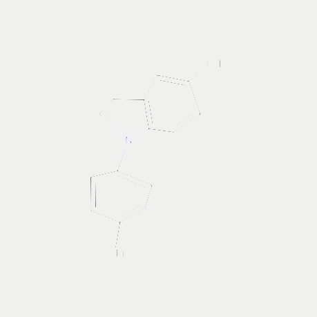 Cc1ccc2c(ccn2-c2ccc(C(C)C)cc2)c1